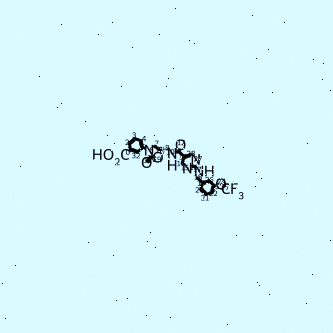 O=C(O)c1cccc(N2C[C@H](CNC(=O)c3cnc(NCc4cccc(OC(F)(F)F)c4)nc3)OC2=O)c1